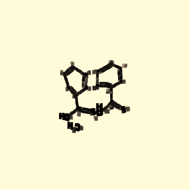 O.OC(=S)c1ccccc1.OC(=S)c1ccccc1